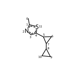 Cc1ncc(C2CC2C2CC2)s1